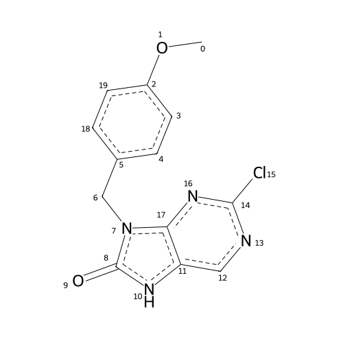 COc1ccc(Cn2c(=O)[nH]c3cnc(Cl)nc32)cc1